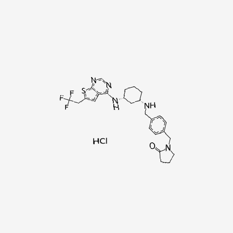 Cl.O=C1CCCN1Cc1ccc(CN[C@H]2CCC[C@@H](Nc3ncnc4sc(CC(F)(F)F)cc34)C2)cc1